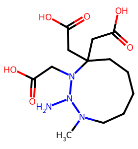 CN1CCCCCC(CC(=O)O)(CC(=O)O)N(CC(=O)O)N1N